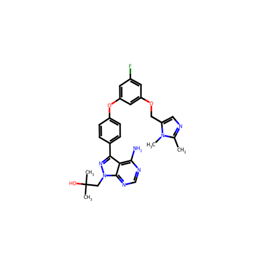 Cc1ncc(COc2cc(F)cc(Oc3ccc(-c4nn(CC(C)(C)O)c5ncnc(N)c45)cc3)c2)n1C